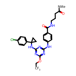 CNC(=O)CCCNC(=O)c1ccc(Nc2nc(NC3(c4ccc(Cl)cc4)CC3)nc(OCC(F)(F)F)n2)cc1